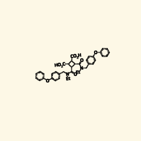 CCN(Cc1ccc(Oc2ccccc2)cc1)C(=O)C1C(C(=O)O)C(C(=O)O)C1C(=O)N(CC)Cc1ccc(Oc2ccccc2)cc1